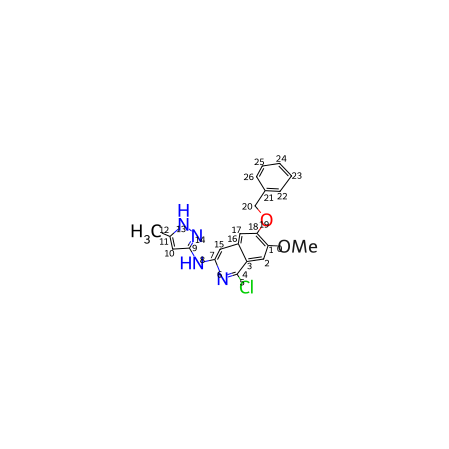 COc1cc2c(Cl)nc(Nc3cc(C)[nH]n3)cc2cc1OCc1ccccc1